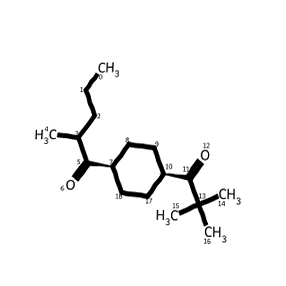 CCCC(C)C(=O)[C@H]1CC[C@@H](C(=O)C(C)(C)C)CC1